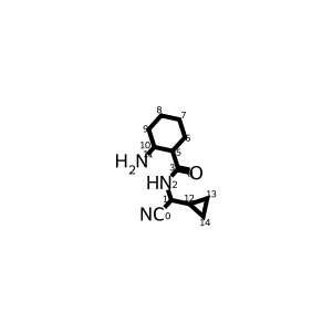 N#CC(NC(=O)C1CCCCC1N)C1CC1